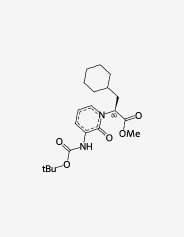 COC(=O)[C@H](CC1CCCCC1)n1cccc(NC(=O)OC(C)(C)C)c1=O